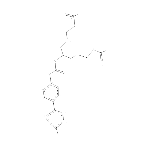 Cc1nnc(-c2ccc(CC(=O)NC(COCCC(=O)O)COCCC(=O)O)cc2)nn1